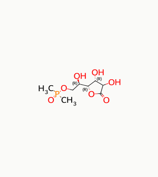 CP(C)(=O)OC[C@@H](O)[C@H]1OC(=O)C(O)[C@H]1O